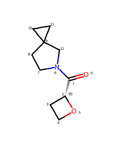 O=C([C@H]1CCO1)N1CCC2(CC2)C1